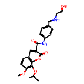 COc1ccc2cc(C(=O)Nc3ccc(CNCCO)cc3)c(=O)oc2c1OC(C)C